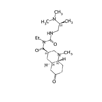 CCN(C(=O)NC[C@H](C)N(C)C)C(=O)[C@@H]1C[C@@H]2CC(=O)CC[C@H]2N(C)C1